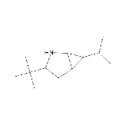 CC(C)C1C2CC(C(C)(C)C)NC21